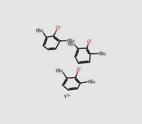 CC(C)(C)c1cccc(C(C)(C)C)c1[O-].CC(C)(C)c1cccc(C(C)(C)C)c1[O-].CC(C)(C)c1cccc(C(C)(C)C)c1[O-].[Y+3]